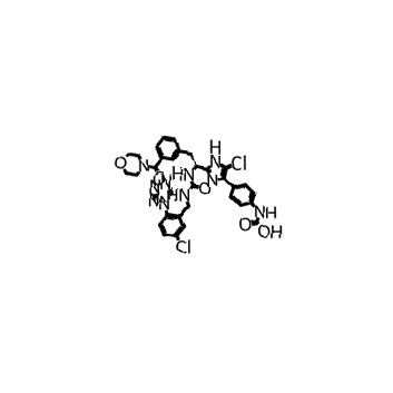 O=C(O)Nc1ccc(-c2nc([C@H](Cc3cccc(C(=O)N4CCOCC4)c3)NC(=O)NCc3cc(Cl)ccc3-n3cnnn3)[nH]c2Cl)cc1